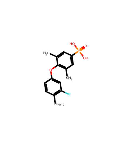 CCCCCc1ccc(Oc2c(C)cc(P(=O)(O)O)cc2C)cc1F